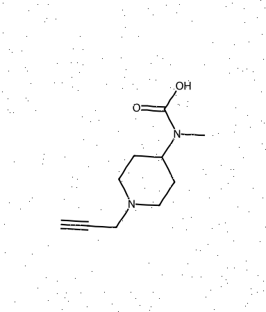 C#CCN1CCC(N(C)C(=O)O)CC1